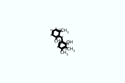 Cc1ccc(Cc2c(C)cccc2C)c(O)c1C